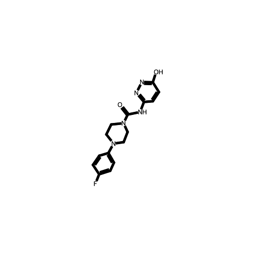 O=C(Nc1ccc(O)nn1)N1CCN(c2ccc(F)cc2)CC1